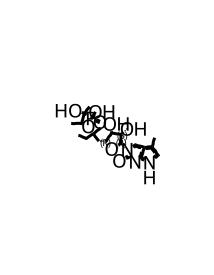 CCC(C)(C[C@H]1O[C@@H](n2cc3c(C)c[nH]c3nc2=O)[C@@H](O)C1O)OP(=O)(O)C(C)(O)CC